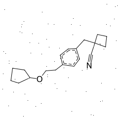 N#CC1(Cc2ccc(CCOC3CCCC3)cc2)CCC1